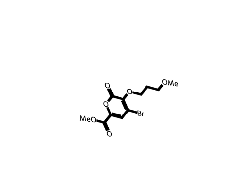 COCCCOc1c(Br)cc(C(=O)OC)oc1=O